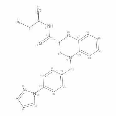 CC[C@H](CC(C)C)NC(=O)[C@H]1CN(Cc2ccc(-n3cccn3)cc2)c2ccccc2O1